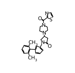 Cc1cccc(C)c1-c1cccc(N2CC(N3CCN(C(=O)c4nccs4)CC3)CC2=O)c1